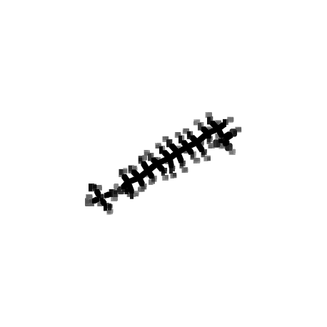 CC(F)(F)C(F)(F)C(F)(F)C(F)(F)C(F)(F)C(F)(F)C(F)(F)C(F)(F)C(F)(F)C(F)(F)S(=O)(=O)[O-].CC[N+](CC)(CC)CC